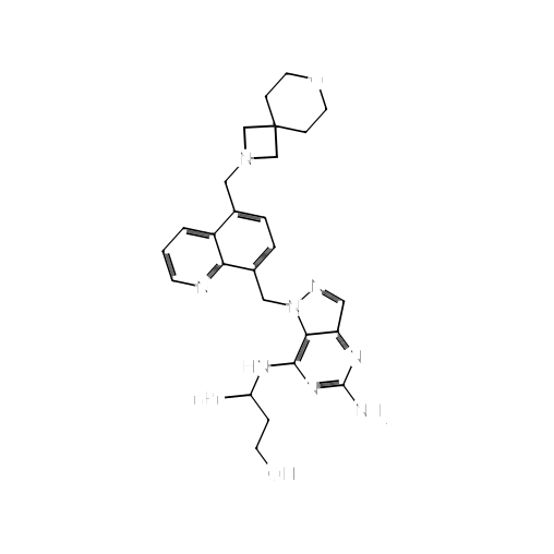 CCCC(CCO)Nc1nc(N)nc2cnn(Cc3ccc(CN4CC5(CCOCC5)C4)c4cccnc34)c12